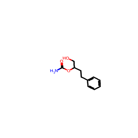 NC(=O)OC(CO)CCc1ccccc1